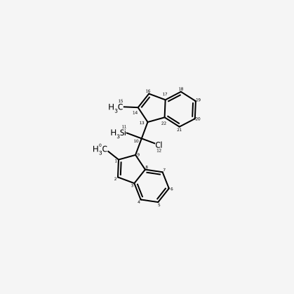 CC1=Cc2ccccc2C1C([SiH3])(Cl)C1C(C)=Cc2ccccc21